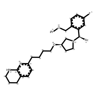 CC(=O)[C@H](c1cc(F)ccc1COC(C)C)N1CC[C@@H](OCCCCc2ccc3c(n2)NCCC3)C1